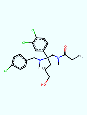 CN(C[C@](CCCO)(c1ccc(Cl)c(Cl)c1)N(Cc1ccc(Cl)cc1)C(=O)O)C(=O)CC(F)(F)F